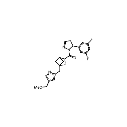 COCc1cn(CC23CC(C2)C(C(=O)N2N=CCC2c2cc(F)cc(F)c2)C3)nn1